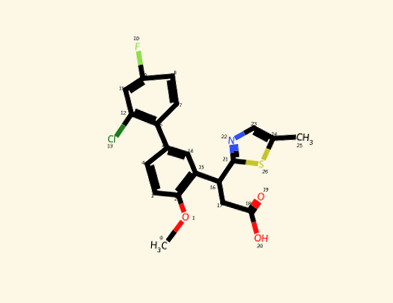 COc1ccc(-c2ccc(F)cc2Cl)cc1C(CC(=O)O)c1ncc(C)s1